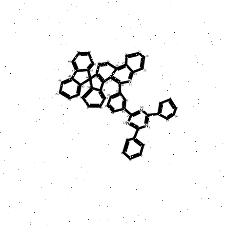 c1ccc(-c2nc(-c3ccccc3)nc(-c3cccc(-c4nc5ccccc5c5ccc6c(c45)-c4ccccc4C64c5ccccc5-c5ccccc54)c3)n2)cc1